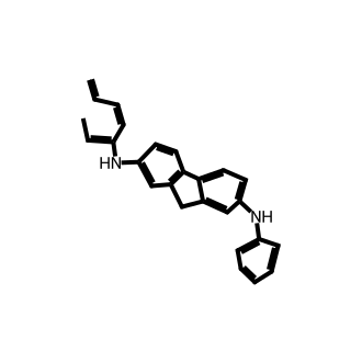 C=C/C=C\C(=C/C)Nc1ccc2c(c1)Cc1cc(Nc3ccccc3)ccc1-2